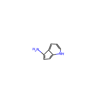 Nc1ccc2[nH]cccc1-2